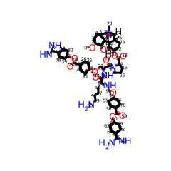 COc1ccc2c3c1O[C@H]1C(OC(=O)C4CCCN4C(=O)C(COc4ccc(C(=O)Oc5ccc(C(=N)N)cc5)cc4)NC(=O)[C@H](CCCCN)NCOc4ccc(C(=O)Oc5ccc(C(=N)N)cc5)cc4)=CC[C@@]4(C)[C@@H](C2)N(C)CC[C@]314